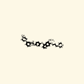 COc1cc2c(Oc3ccc(NC(=O)c4cc(N5CCN(C)CC5)ccn4)nc3)ccnc2cc1OCCCN1CCOCC1